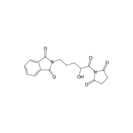 O=C1c2ccccc2C(=O)N1CCCC(O)C(=O)N1C(=O)CCC1=O